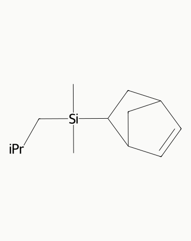 CC(C)C[Si](C)(C)C1CC2C=CC1C2